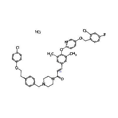 Cc1cc(/C=C/C(=O)N2CCN(Cc3ccc(CCOc4ccc(Cl)cc4)cc3)CC2)cc(C)c1Oc1ccc(OCc2ccc(F)cc2Cl)cn1.Cl